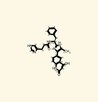 Cc1[nH]c([C@H](Cc2ccccc2)NC(=O)CCc2c[nH]cn2)nc1-c1ccc2[nH]c(=O)cc(O)c2c1